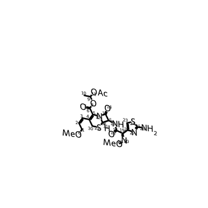 COC/C=C\C1=C(C(=O)OC(C)OC(C)=O)N2C(=O)C(NC(=O)/C(=N\OC)c3csc(N)n3)[C@H]2SC1